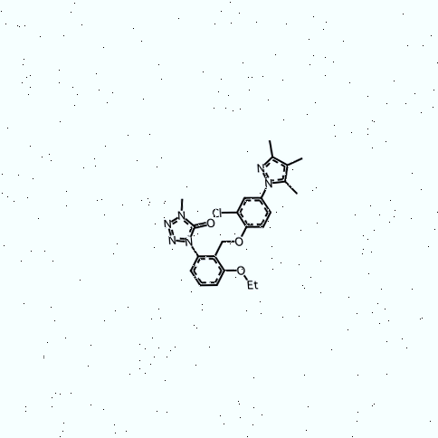 CCOc1cccc(-n2nnn(C)c2=O)c1COc1ccc(-n2nc(C)c(C)c2C)cc1Cl